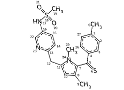 Cc1ccc(C(=S)c2c(C)cc(Cc3ccc(NS(C)(=O)=O)cn3)n2C)cc1